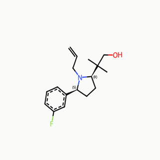 C=CCN1[C@H](c2cccc(F)c2)CC[C@@H]1C(C)(C)CO